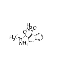 C[C@H](N)C(=O)c1ccc2ccccc2c1C(N)=O